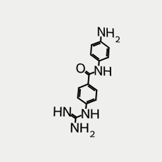 N=C(N)Nc1ccc(C(=O)Nc2ccc(N)cc2)cc1